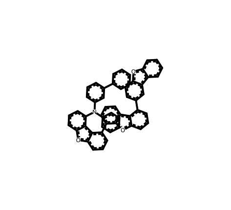 c1ccc(-c2cccc(N(c3ccccc3)c3cccc4oc5cccc(-c6cccc7c6oc6cccc(-c8ccc9oc%10ccccc%10c9c8)c67)c5c34)c2)cc1